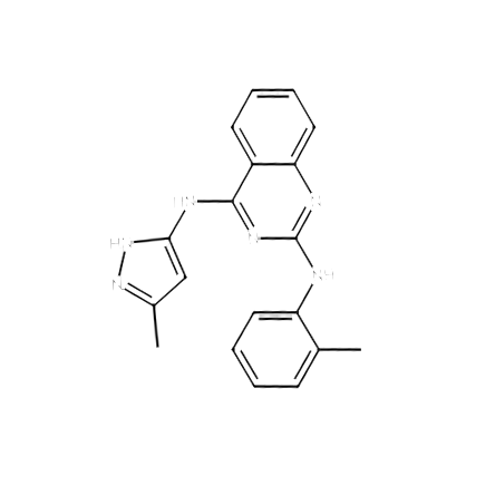 Cc1cc(Nc2nc(Nc3ccccc3C)nc3ccccc23)[nH]n1